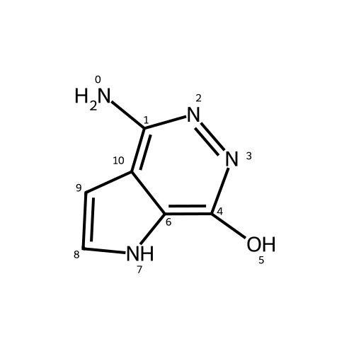 Nc1nnc(O)c2[nH]ccc12